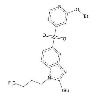 CCOc1cc(S(=O)(=O)c2ccc3c(c2)nc(C(C)(C)C)n3CCCC(F)(F)F)ccn1